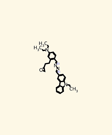 CCN(CC)c1ccc(/C=N/N=C/c2ccc3c(c2)c2ccccc2n3CC)c(CCC2CO2)c1